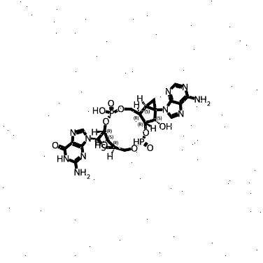 Nc1nc2c(ncn2[C@@H]2S[C@@H]3CO[PH](=O)O[C@@H]4[C@@H](COP(=O)(O)O[C@@H]2[C@@H]3O)[C@@H]2CC2(n2cnc3c(N)ncnc32)[C@@H]4O)c(=O)[nH]1